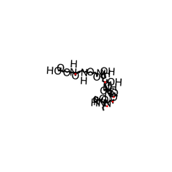 CC[C@H](C)[C@H](NC(=O)[C@H]1CCCCN1C)C(=O)N(C)[C@H](C[C@@H](OC(C)=O)c1nc(C(=O)NC[C@@H](Cc2ccc(O)c(NC(=O)CCOCCNCC#CC(=O)NCCOCCC(=O)O)c2)C(C)C(=O)O)cs1)C(C)C